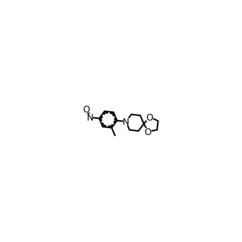 Cc1cc(N=O)ccc1N1CCC2(CC1)OCCO2